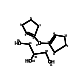 C1=C(OC2=CCCC2)CCC1.OCC(O)CO